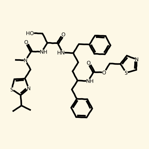 CC(C)c1nc(CN(C)C(=O)NC(CO)C(=O)NC(CCC(Cc2ccccc2)NC(=O)OCc2cncs2)Cc2ccccc2)cs1